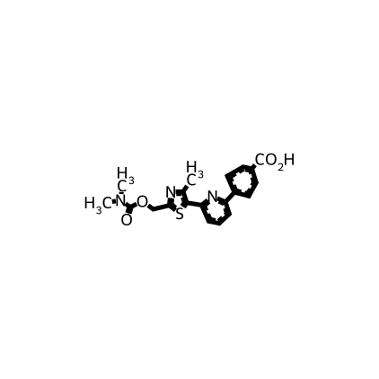 Cc1nc(COC(=O)N(C)C)sc1-c1cccc(-c2ccc(C(=O)O)cc2)n1